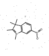 CC1=[N+](C)c2cc([N+](=O)[O-])ccc2C1(C)C.[I-]